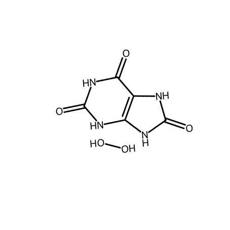 O=c1[nH]c(=O)c2[nH]c(=O)[nH]c2[nH]1.OO